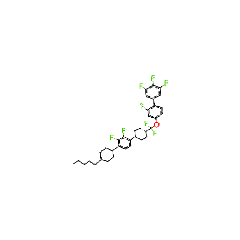 CCCCCC1CCC(c2ccc(C3CCC(C(F)(F)Oc4ccc(-c5cc(F)c(F)c(F)c5)c(F)c4)CC3)c(F)c2F)CC1